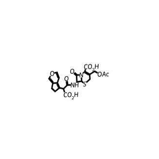 CC(=O)OCC1=C(C(=O)O)N2C(=O)C(NC(=O)C(C(=O)O)C3=C4C=COC=C4CC3)C2SC1